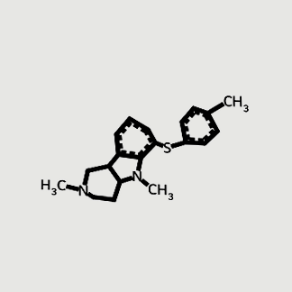 Cc1ccc(Sc2cccc3c2N(C)C2CCN(C)CC32)cc1